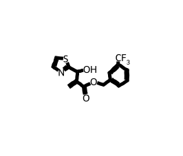 C=C(C(=O)OCc1cccc(C(F)(F)F)c1)C(O)c1nccs1